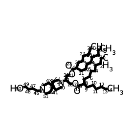 CCCCCCCCC(CCCCCC)C(=O)OCC(COC(=O)C(CCCCCC)CCCCCCCC)N1CCC2(CCN(CCCCO)CC2)CC1